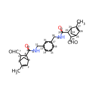 CC1=CC2CC1C(C=O)C2C(=O)NCc1cccc(CNC(=O)C2C3CC(C=C3C)C2C=O)c1